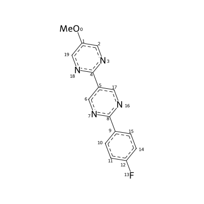 COc1cnc(-c2cnc(-c3ccc(F)cc3)nc2)nc1